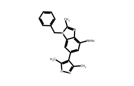 CC(=O)Nc1cc(-c2c(C)noc2C)cc2c1nc(C)n2Cc1ccccc1